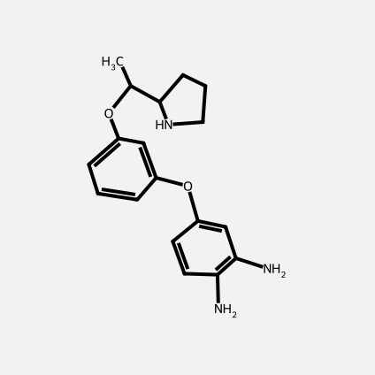 CC(Oc1cccc(Oc2ccc(N)c(N)c2)c1)C1CCCN1